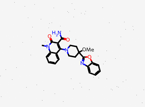 COC1(c2nc3ccccc3o2)CCN(c2c(C(N)=O)c(=O)n(C)c3ccccc23)CC1